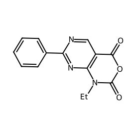 CCn1c(=O)oc(=O)c2cnc(-c3ccccc3)nc21